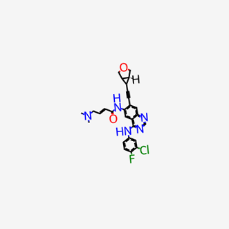 CN(C)C/C=C/C(=O)Nc1cc2c(Nc3ccc(F)c(Cl)c3)ncnc2cc1C#CC1C2COC[C@@H]12